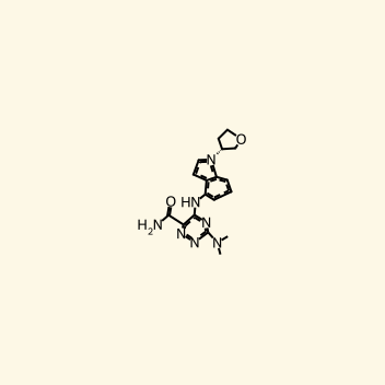 CN(C)c1nnc(C(N)=O)c(Nc2cccc3c2ccn3[C@@H]2CCOC2)n1